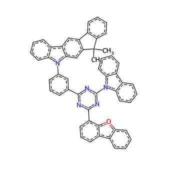 CC1(C)c2ccccc2-c2cc3c4ccccc4n(-c4cccc(-c5nc(-c6cccc7c6oc6ccccc67)nc(-n6c7ccccc7c7ccccc76)n5)c4)c3cc21